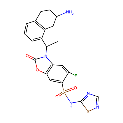 CC(c1cccc2c1CC(N)CC2)n1c(=O)oc2cc(S(=O)(=O)Nc3ncns3)c(F)cc21